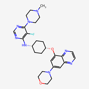 CN1CCN(c2ncnc(N[C@H]3CC[C@@H](Oc4cc(N5CCOCC5)cc5nccnc45)CC3)c2F)CC1